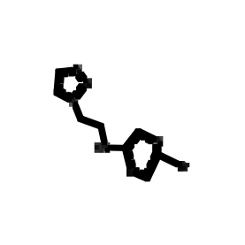 Brc1cnc(NCCn2ccnn2)cn1